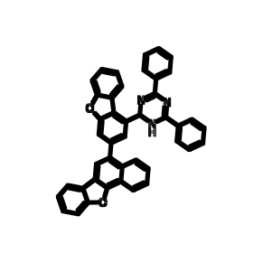 c1ccc(C2=NC(c3cc(-c4cc5c6ccccc6oc5c5ccccc45)cc4oc5ccccc5c34)NC(c3ccccc3)=N2)cc1